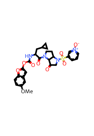 COc1ccc2oc(OC(=O)NC(CC3CC3)C(=O)N3CCC4C3C(=O)CN4S(=O)(=O)c3ccc[n+]([O-])c3)cc2c1